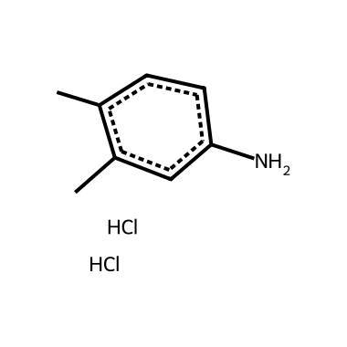 Cc1ccc(N)cc1C.Cl.Cl